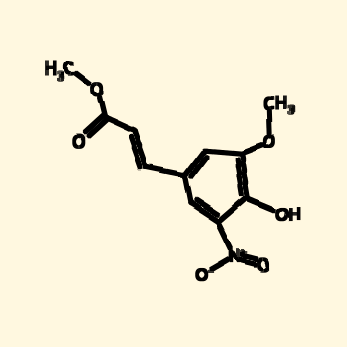 COC(=O)C=Cc1cc(OC)c(O)c([N+](=O)[O-])c1